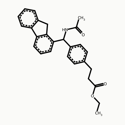 CCOC(=O)CCc1ccc(C(NC(C)=O)c2cccc3c2Cc2ccccc2-3)cc1